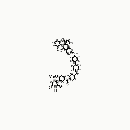 COc1ccc(C(=O)N2CCC(CN3CCC(c4ccc(Nc5ncc6c(=O)n(-c7c(Cl)cccc7Cl)c7nccn7c6n5)cc4)CC3)CC2)cc1N1CCC(=O)NC1=O